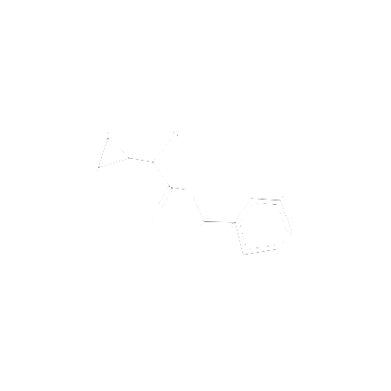 [NH]C(C(=O)OCc1ccccc1)C1CC1